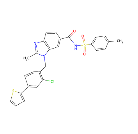 Cc1ccc(S(=O)(=O)NC(=O)c2ccc3nc(C)n(Cc4ccc(-c5cccs5)cc4Cl)c3c2)cc1